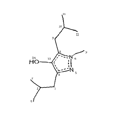 CC(C)Cc1nn(C)c(CC(C)C)c1O